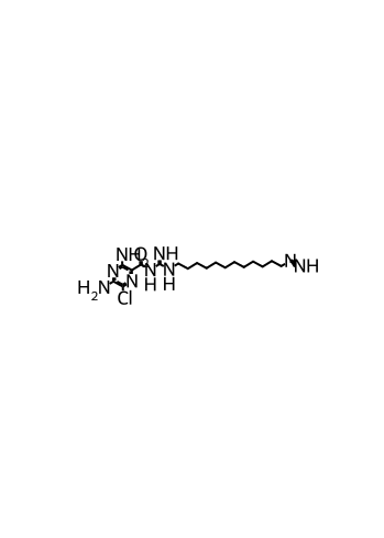 N=NCCCCCCCCCCCCNC(=N)NC(=O)c1nc(Cl)c(N)nc1N